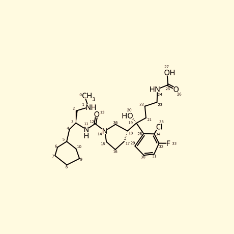 CNC[C@H](CC1CCCCC1)NC(=O)N1CCC[C@@H]([C@@](O)(CCCNC(=O)O)c2cccc(F)c2Cl)C1